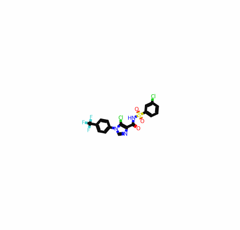 O=C(NS(=O)(=O)c1cccc(Cl)c1)c1ncn(-c2ccc(C(F)(F)F)cc2)c1Cl